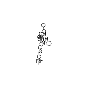 O=C(O)[C@H](Cc1ccc(-c2ccccc2)cc1)NC(=O)[C@@H]1Cc2ccc(OCc3ccc(C(F)(F)F)cc3)cc2CN1C(=O)C1CCCCCC1